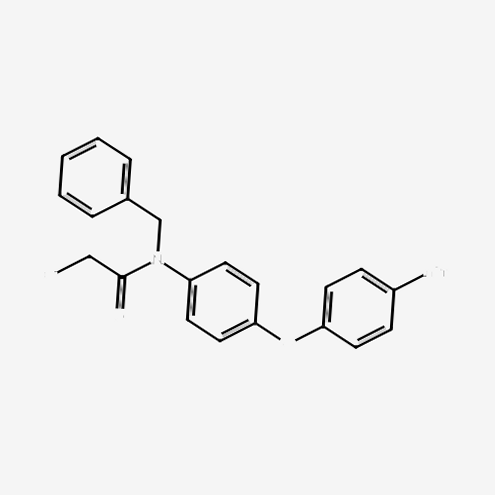 CCCc1ccc(Oc2ccc(N(Cc3ccccc3)C(=O)CCl)cc2)cc1